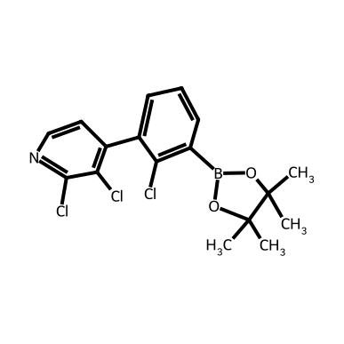 CC1(C)OB(c2cccc(-c3ccnc(Cl)c3Cl)c2Cl)OC1(C)C